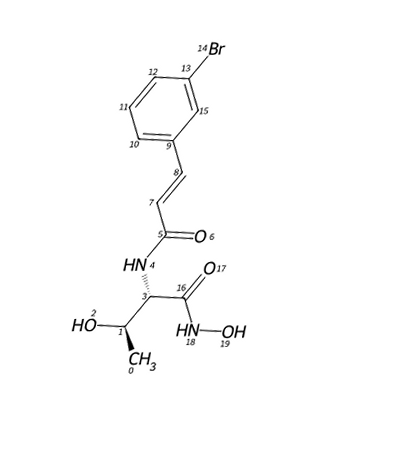 C[C@@H](O)[C@H](NC(=O)C=Cc1cccc(Br)c1)C(=O)NO